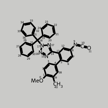 COc1ccc(-c2ccc(N=C=O)cc2-c2nnn(C(c3ccccc3)(c3ccccc3)c3ccccc3)n2)cc1C